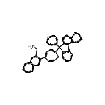 NCc1cc2ccccc2cc1C1=CC=C(C2(c3ccccc3)c3ccccc3-c3c2ccc2ccccc32)CC=C1